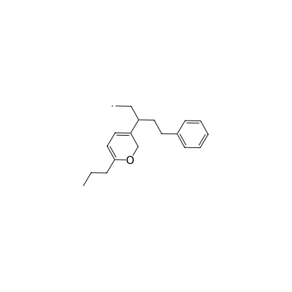 [CH2]CC(CCc1ccccc1)C1=CC=C(CCC)OC1